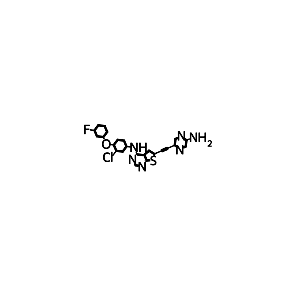 Nc1cnc(C#Cc2cc3c(Nc4ccc(Oc5cccc(F)c5)c(Cl)c4)ncnc3s2)cn1